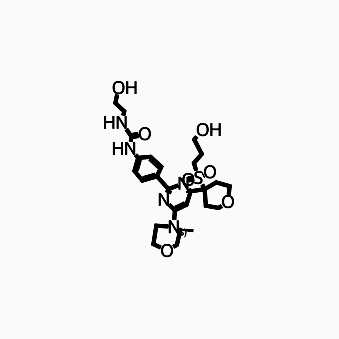 C[C@H]1COCCN1c1cc(C2(S(=O)(=O)CCCO)CCOCC2)nc(-c2ccc(NC(=O)NCCO)cc2)n1